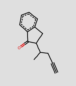 C#CCC(C)C1Cc2ccccc2C1=O